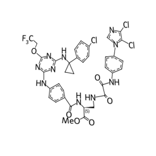 COC(=O)[C@H](CNC(=O)C(=O)Nc1ccc(-n2cnc(Cl)c2Cl)cc1)NC(=O)c1ccc(Nc2nc(NC3(c4ccc(Cl)cc4)CC3)nc(OCC(F)(F)F)n2)cc1